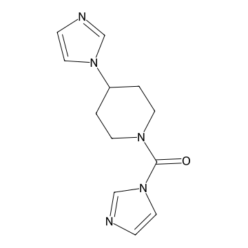 O=C(N1CCC(n2ccnc2)CC1)n1ccnc1